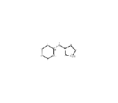 C1CC[C@H](OC2CCNC2)OC1